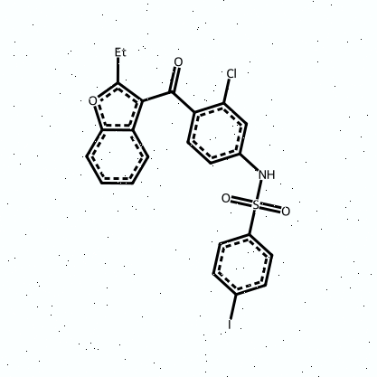 CCc1oc2ccccc2c1C(=O)c1ccc(NS(=O)(=O)c2ccc(I)cc2)cc1Cl